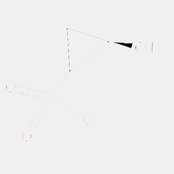 C[C@@H]1CC1S(=O)(=O)Cl